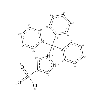 O=S(=O)(Cl)c1cnn(C(c2ccccc2)(c2ccccc2)c2ccccc2)c1